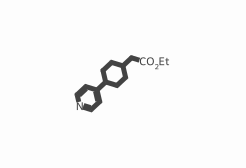 CCOC(=O)CC1CCC(c2ccncc2)CC1